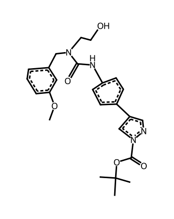 COc1cccc(CN(CCO)C(=O)Nc2ccc(-c3cnn(C(=O)OC(C)(C)C)c3)cc2)c1